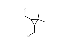 CC1(C)C(C=O)C1CO